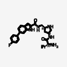 CC(C)[C@@H](N)C(=O)N[C@@H]1CN[C@H](CNC(=O)c2cc3ccc(-c4ccc(F)cc4)cc3[nH]2)C1